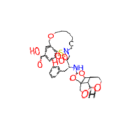 CC12CO[C@@H]3OCC(CC31)[C@@H]2OC(=O)N[C@@H](Cc1ccccc1)[C@H](O)CN1CCCCCCCOCc2cc(C(=O)O)ccc2S1(=O)=O